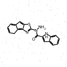 NN(C(=O)c1cc2ccccc2[nH]1)c1nc2c(s1)=CC1=CC=CCC=21